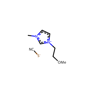 COCC[n+]1ccn(C)c1.N#C[S-]